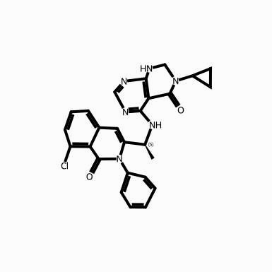 C[C@H](Nc1ncnc2c1C(=O)N(C1CC1)CN2)c1cc2cccc(Cl)c2c(=O)n1-c1ccccc1